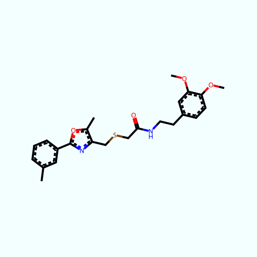 COc1ccc(CCNC(=O)CSCc2nc(-c3cccc(C)c3)oc2C)cc1OC